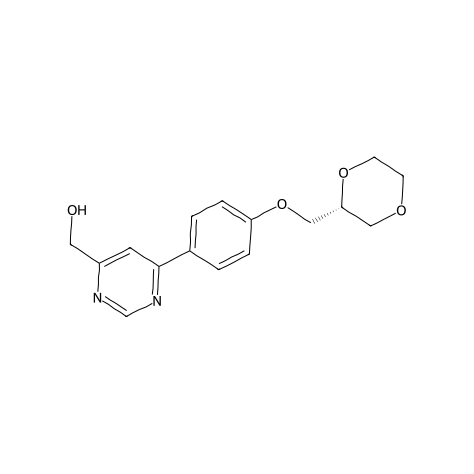 OCc1cc(-c2ccc(OC[C@H]3COCCO3)cc2)ncn1